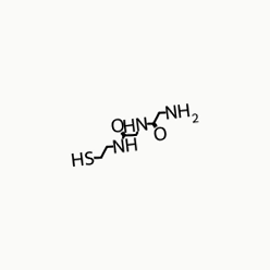 NCC(=O)NCC(=O)NCCS